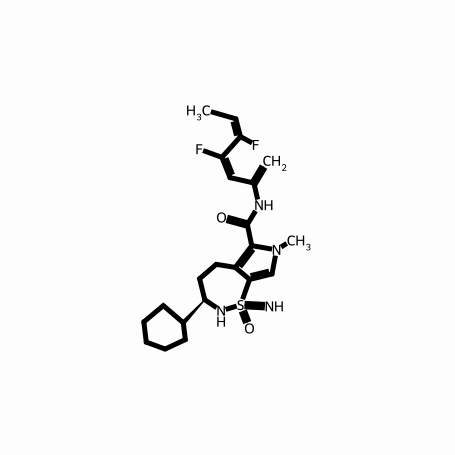 C=C(/C=C(F)\C(F)=C/C)NC(=O)c1c2c(cn1C)S(=N)(=O)N[C@@H](C1CCCCC1)CC2